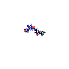 Cc1c(C(C)(C)CNC(=O)CN2C[C@@H](C)NC[C@@H]2CN2CCOC[C@H]2C)ccn(Cc2ccc(F)cc2F)c1=O